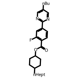 CCCCCCCC1CCC(OC(=O)c2ccc(-c3ncc(CCCC)cn3)cc2F)CC1